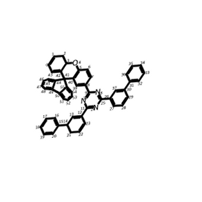 C1=CCC2Oc3ccc(-c4nc(C5=CC(c6ccccc6)CC=C5)nc(-c5cccc(-c6ccccc6)c5)n4)cc3C3(C2=C1)c1ccccc1-c1ccccc13